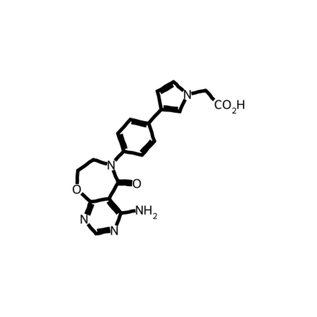 Nc1ncnc2c1C(=O)N(c1ccc(-c3ccn(CC(=O)O)c3)cc1)CCO2